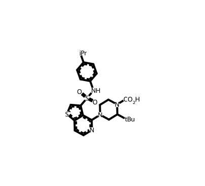 CC(C)c1ccc(NS(=O)(=O)c2csc3ccnc(N4CCN(C(=O)O)C(C(C)(C)C)C4)c23)cc1